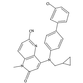 Cn1c(=O)cc(N(CC2CC2)c2ccc(-c3cccc(Cl)c3)cc2)c2nc(C#N)ccc21